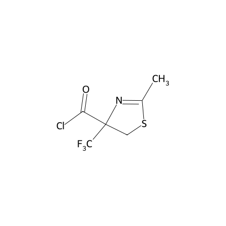 CC1=NC(C(=O)Cl)(C(F)(F)F)CS1